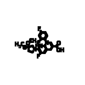 COC1(OC)CCN(C2=C(F)C=C3CC(C(=O)O)=CN(c4ccc(F)cc4F)C3N2)C1